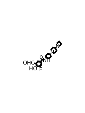 O=Cc1cc(C(=O)Nc2ccc(N3CCC(N4CCCC4)CC3)cc2)cc(F)c1O